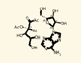 CC(=O)O[C@@](C(C)=O)(C(=O)C(C)=O)C(O)C(O)CO.Nc1ncnc2c1ncn2[C@@H]1O[C@H](CO)[C@@H](O)[C@H]1O